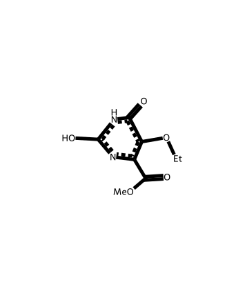 CCOc1c(C(=O)OC)nc(O)[nH]c1=O